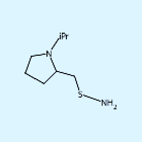 CC(C)N1CCCC1CSN